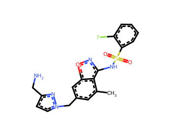 Cc1cc(Cn2ccc(CN)n2)cc2onc(NS(=O)(=O)c3ccccc3F)c12